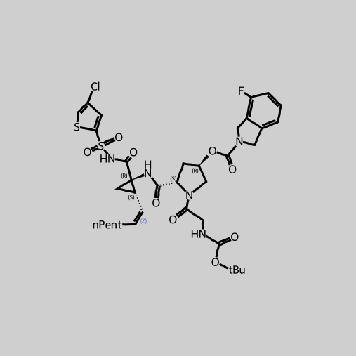 CCCCC/C=C\[C@@H]1C[C@]1(NC(=O)[C@@H]1C[C@@H](OC(=O)N2Cc3cccc(F)c3C2)CN1C(=O)CNC(=O)OC(C)(C)C)C(=O)NS(=O)(=O)c1cc(Cl)cs1